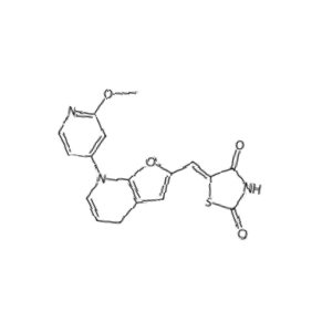 COc1cc(N2C=CCc3cc(/C=C4\SC(=O)NC4=O)oc32)ccn1